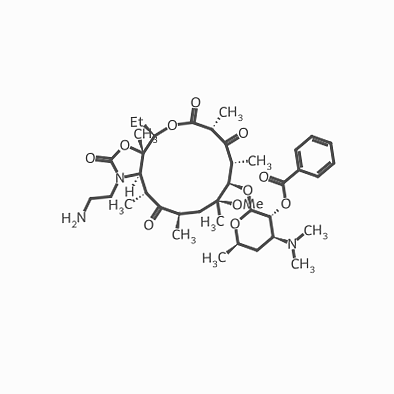 CC[C@H]1OC(=O)[C@H](C)C(=O)[C@H](C)[C@@H](O[C@@H]2O[C@H](C)C[C@H](N(C)C)[C@H]2OC(=O)c2ccccc2)[C@@](C)(OC)C[C@@H](C)C(=O)[C@H](C)[C@H]2N(CCN)C(=O)O[C@]12C